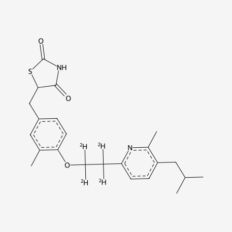 [2H]C([2H])(Oc1ccc(CC2SC(=O)NC2=O)cc1C)C([2H])([2H])c1ccc(CC(C)C)c(C)n1